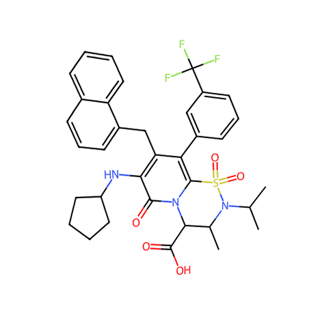 CC(C)N1C(C)C(C(=O)O)n2c(c(-c3cccc(C(F)(F)F)c3)c(Cc3cccc4ccccc34)c(NC3CCCC3)c2=O)S1(=O)=O